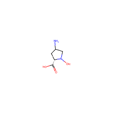 NC1C[C@@H](C(=O)O)N(O)C1